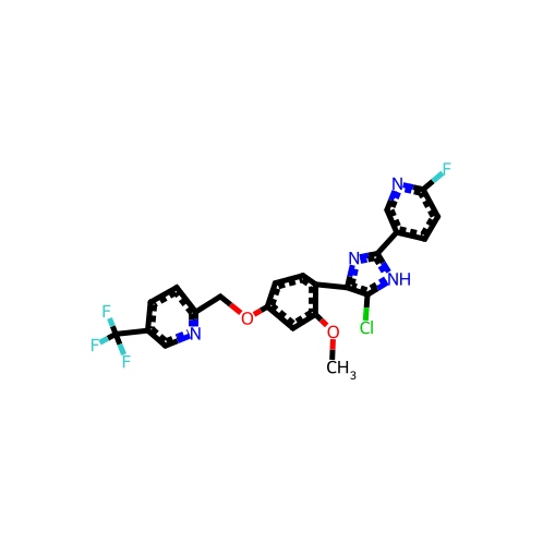 COc1cc(OCc2ccc(C(F)(F)F)cn2)ccc1-c1nc(-c2ccc(F)nc2)[nH]c1Cl